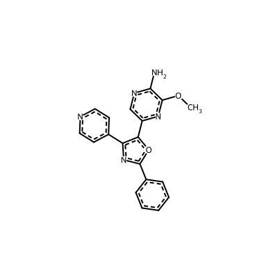 COc1nc(-c2oc(-c3ccccc3)nc2-c2ccncc2)cnc1N